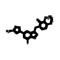 C/C=N\c1ccn(Cc2nnc3c(F)cc(-c4cc(C)no4)cn23)c(=O)c1C